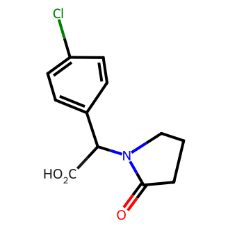 O=C(O)C(c1ccc(Cl)cc1)N1CCCC1=O